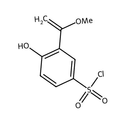 C=C(OC)c1cc(S(=O)(=O)Cl)ccc1O